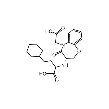 O=C(O)CN1C(=O)[C@@H](NC(CCC2CCCCC2)C(=O)O)COc2ccccc21